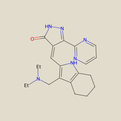 CCN(CC)Cc1c(/C=C2/C(=O)NN=C2c2ncccn2)[nH]c2c1CCCC2